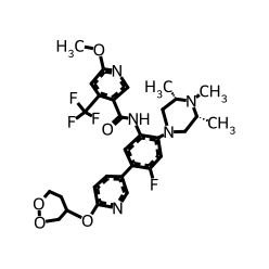 COc1cc(C(F)(F)F)c(C(=O)Nc2cc(-c3ccc(OC4CCOOC4)nc3)c(F)cc2N2C[C@@H](C)N(C)[C@@H](C)C2)cn1